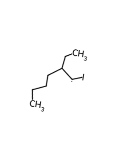 CCCCC([CH]I)CC